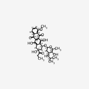 CCC(=O)[C@]1(O)Cc2c(O)c3c(c(O)c2[C@@H](OC2C[C@H](NC(C)C)[C@H](O)[C@H](C)O2)C1)C(=O)c1c(OC)cccc1C3=O